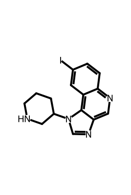 Ic1ccc2ncc3ncn(C4CCCNC4)c3c2c1